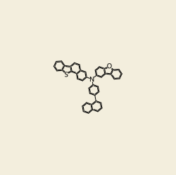 c1ccc2c(-c3ccc(N(c4ccc5c(ccc6c7ccccc7sc56)c4)c4ccc5oc6ccccc6c5c4)cc3)cccc2c1